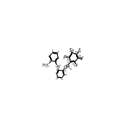 Cc1cccc[c]1[Al+][c]1ccccc1C.Fc1c(F)c(F)c([S-])c(F)c1F